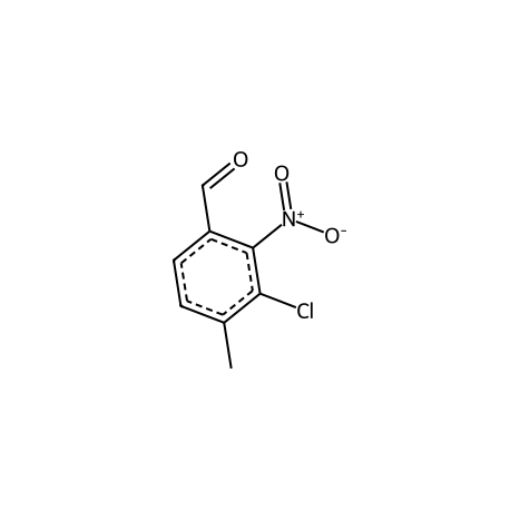 Cc1ccc(C=O)c([N+](=O)[O-])c1Cl